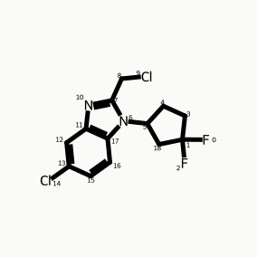 FC1(F)CCC(n2c(CCl)nc3cc(Cl)ccc32)C1